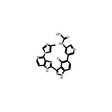 CCCC(=O)Nc1cncc(-c2ccc3[nH]nc(-c4nc5c(-n6cnc(C)c6)nccc5[nH]4)c3c2F)c1